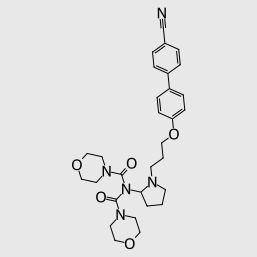 N#Cc1ccc(-c2ccc(OCCCN3CCCC3N(C(=O)N3CCOCC3)C(=O)N3CCOCC3)cc2)cc1